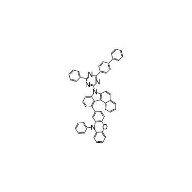 c1ccc(-c2ccc(-c3nc(-c4ccccc4)nc(-n4c5cccc(-c6ccc7c(c6)N(c6ccccc6)c6ccccc6O7)c5c5c6ccccc6ccc54)n3)cc2)cc1